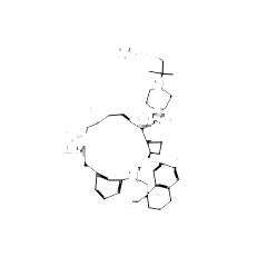 COCC(C)(C)N1CCN(C[C@]2(OC)/C=C/C[C@H](C)[C@@H](C)S(=O)(=O)NC(=O)c3ccc4c(c3)N(C[C@@H]3CC[C@H]32)C[C@@]2(CCCc3cc(Cl)ccc32)CO4)CC1